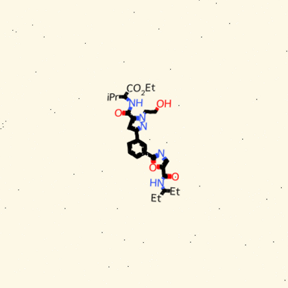 CCOC(=O)C(NC(=O)c1cc(-c2cccc(-c3ncc(C(=O)NC(CC)CC)o3)c2)nn1CCO)C(C)C